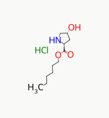 CCCCCCOC(=O)[C@@H]1C[C@@H](O)CN1.Cl